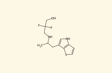 CC(Cc1c[nH]c2ccsc12)NCC(F)(F)CO